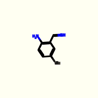 CC(C)(C)c1ccc(N)c(C=N)c1